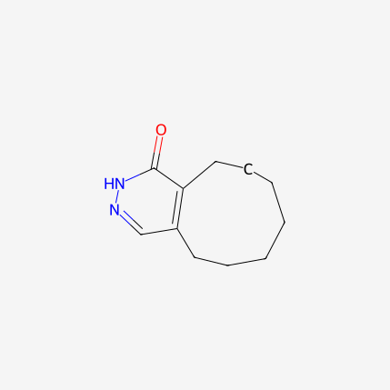 O=c1[nH]ncc2c1CCCCCCC2